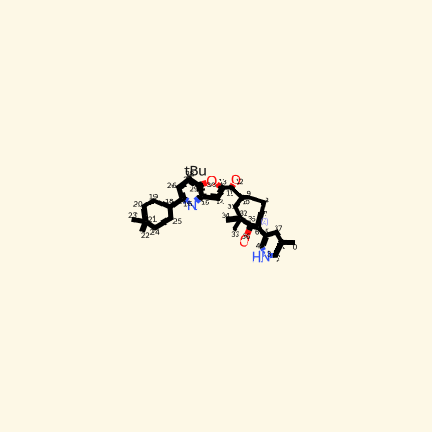 CC1=CNC=C(/C2=C/CCC(C(=O)c3cc4nc(C5CCC(C)(C)CC5)cc(C(C)(C)C)c4o3)CC(C)(C)C2=O)C1